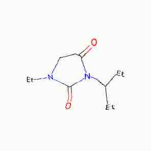 CCC(CC)N1C(=O)CN(CC)C1=O